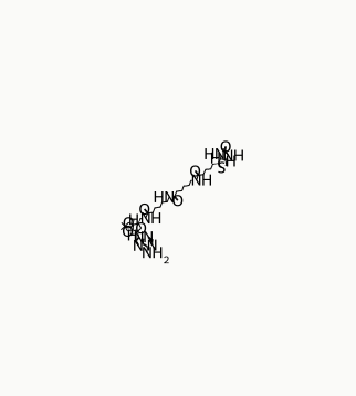 CC1(C)O[C@@H]2[C@H](O1)[C@@H](CNC(=O)CCCCCNC(=O)CCCCCNC(=O)CCCC[C@@H]1SC[C@@H]3NC(=O)N[C@@H]31)O[C@H]2n1cnc2c(N)ncnc21